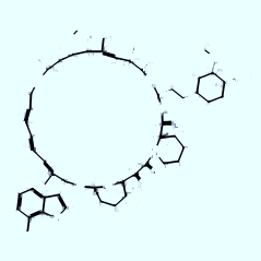 CO[C@H]1[C@@H](O)[C@H](C)CC/C=C/C=C/C=C(\C)[C@@H](c2c[nH]c3c(C)cccc23)C[C@@H]2CC[C@@H](C)[C@@](O)(O2)C(=O)C(=O)N2CCCC[C@H]2C(=O)O[C@H](CC[C@@H]2CC[C@@H](O)[C@H](OC)C2)C[C@H](O)[C@H](C)/C=C(\C)[C@H]1O